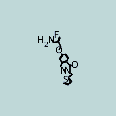 NC/C(=C\F)COc1ccc2c(=O)n(Cc3cccs3)ncc2c1